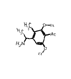 CCOc1cc(C(C)N)c(C)c(OCC)c1C(C)=O